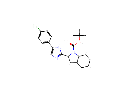 CC(C)(C)OC(=O)N1C(c2ncc(-c3ccc(Br)cc3)[nH]2)CC2CCCCC21